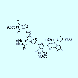 CCCCCCCCC[Si]1(CC(CC)CCCC)c2cc(-c3sc(C)c4c3C(=O)N(CCCCCCCC)C4=O)sc2-c2sc(-c3sc(-c4cc5c(s4)-c4sc(C)cc4[Si]5(CCCCCCCC)C4CCC(CCCC)C4)c4c3C(=O)N(CCCCCCCC)C4=O)cc21